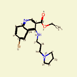 CCOC(=O)c1cnc2ccc(Br)cc2c1NCCCN1CCCC1